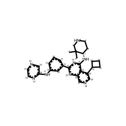 CC1(C)CNCC[C@@H]1Nc1nc(-c2cccc(Nc3cnccn3)c2)nc2cncc(C3CCC3)c12